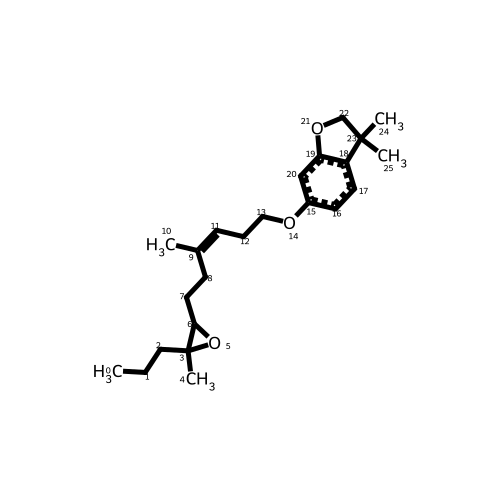 CCCC1(C)OC1CCC(C)=CCCOc1ccc2c(c1)OCC2(C)C